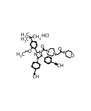 C#Cc1ccc([C@H]2N=C(c3ccc(C(C)(C)C)cc3OCC)N(C(=O)N3CCN(CC(=O)N4CCOCC4)CC3)[C@@H]2c2ccc(C#C)cc2)cc1.Cl